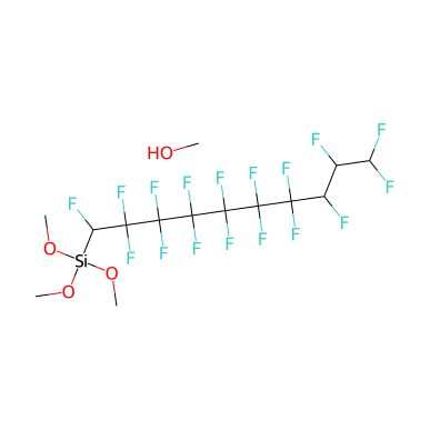 CO.CO[Si](OC)(OC)C(F)C(F)(F)C(F)(F)C(F)(F)C(F)(F)C(F)(F)C(F)(F)C(F)C(F)C(F)F